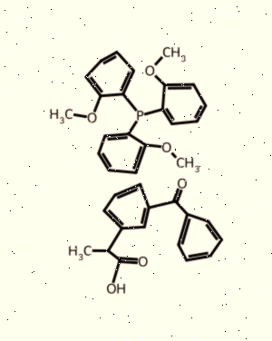 CC(C(=O)O)c1cccc(C(=O)c2ccccc2)c1.COc1ccccc1P(c1ccccc1OC)c1ccccc1OC